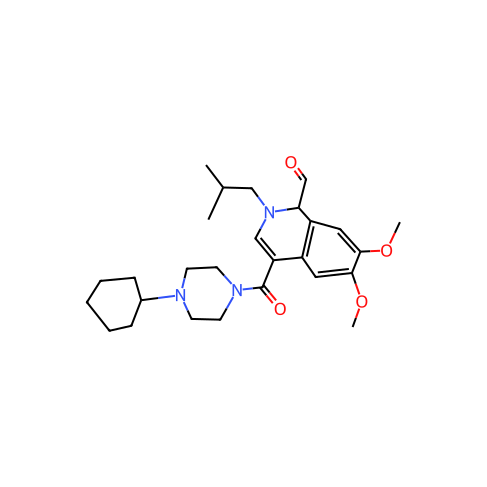 COc1cc2c(cc1OC)C(C=O)N(CC(C)C)C=C2C(=O)N1CCN(C2CCCCC2)CC1